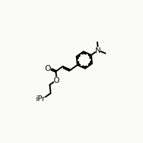 CC(C)CCOC(=O)C=Cc1ccc(N(C)C)cc1